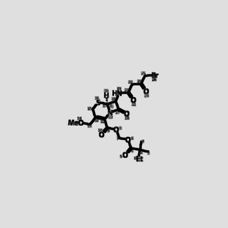 CCC(C)(C)C(=O)OCOC(=O)C1=C(COC)CS[C@H]2C(NC(=O)CC(=O)CBr)C(=O)N12